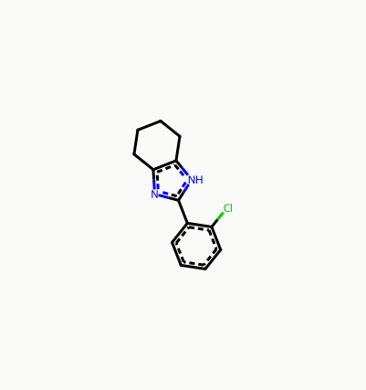 Clc1ccccc1-c1nc2c([nH]1)CCCC2